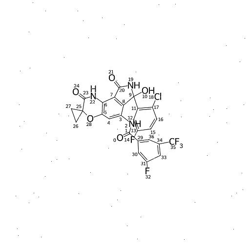 O=C(Nc1cc2c(c3c1C(O)(c1cc(F)ccc1Cl)NC3=O)NC(=O)C1(CC1)O2)c1cc(F)cc(C(F)(F)F)c1